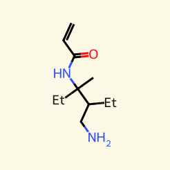 C=CC(=O)NC(C)(CC)C(CC)CN